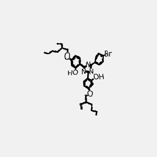 CCCCC(CC)COc1ccc(-c2nc(-c3ccc(Br)cc3)nc(-c3ccc(OCC(CC)CCCC)cc3O)n2)c(O)c1